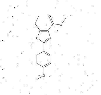 CCc1oc(-c2ccc(OC)cc2)cc1C(=O)OC